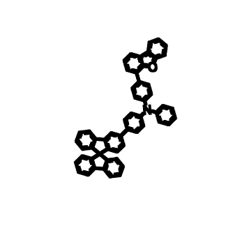 c1ccc(N(c2ccc(-c3ccc4c(c3)-c3ccccc3C43c4ccccc4-c4ccccc43)cc2)c2ccc(-c3cccc4c3oc3ccccc34)cc2)cc1